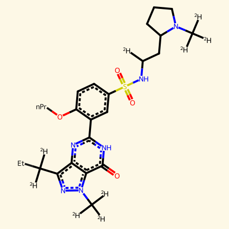 [2H]C(CC1CCCN1C([2H])([2H])[2H])NS(=O)(=O)c1ccc(OCCC)c(-c2nc3c(C([2H])([2H])CC)nn(C([2H])([2H])[2H])c3c(=O)[nH]2)c1